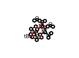 CC(C)(C)c1cc2c3c(c1)N(c1c(-c4ccccc4)cccc1-c1ccccc1)c1ccc(-c4cc(-n5c6ccccc6c6ccccc65)cc(-n5c6ccccc6c6cc7oc8ccccc8c7cc65)n4)cc1B3c1cc(-c3cccc(-n4c5ccccc5c5cc6oc7ccccc7c6cc54)n3)ccc1N2c1c(-c2ccccc2)cccc1-c1ccccc1